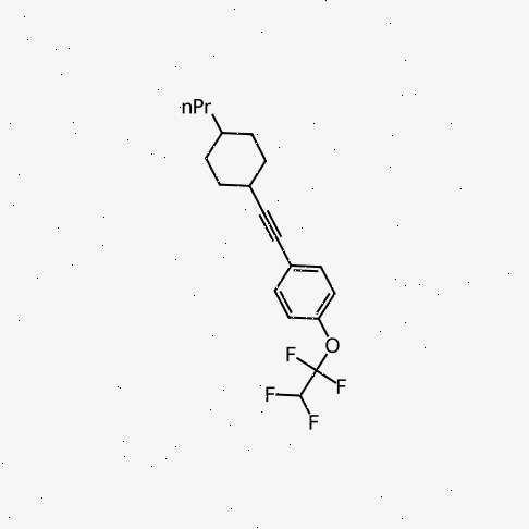 CCCC1CCC(C#Cc2ccc(OC(F)(F)C(F)F)cc2)CC1